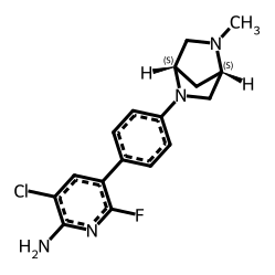 CN1C[C@@H]2C[C@H]1CN2c1ccc(-c2cc(Cl)c(N)nc2F)cc1